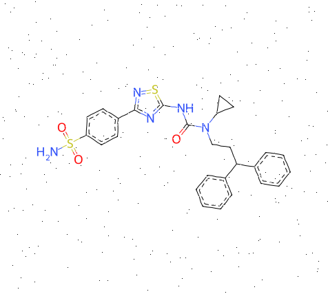 NS(=O)(=O)c1ccc(-c2nsc(NC(=O)N(CCC(c3ccccc3)c3ccccc3)C3CC3)n2)cc1